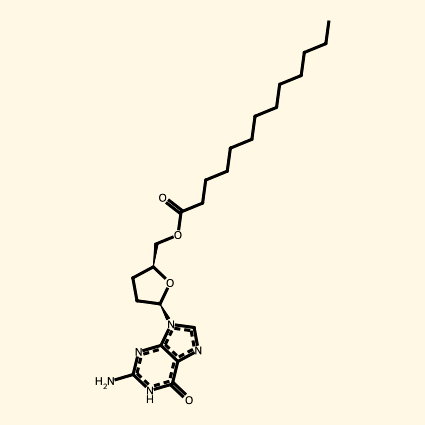 CCCCCCCCCCCCC(=O)OC[C@@H]1CC[C@H](n2cnc3c(=O)[nH]c(N)nc32)O1